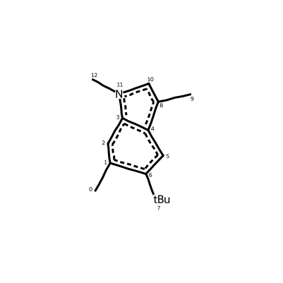 Cc1cc2c(cc1C(C)(C)C)c(C)cn2C